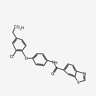 O=C(O)Cc1ccc(Oc2ccc(NC(=O)c3ccc4ncsc4c3)cc2)c(Cl)c1